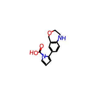 O=C(O)n1cccc1-c1ccc2c(c1)COCCN2